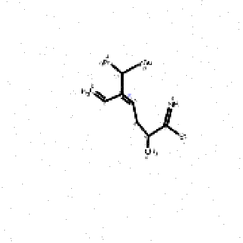 C=C/C(=C\CC(C)C(=N)CC)C(CCC)CCCC